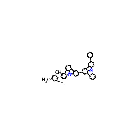 Cc1cc(C)c(-c2ccc3c(c2)c2cccc4c5cc(-c6cc7c8ccccc8n8c9ccc(-c%10ccccc%10)cc9c(c6)c78)ccc5n3c42)c(C)c1